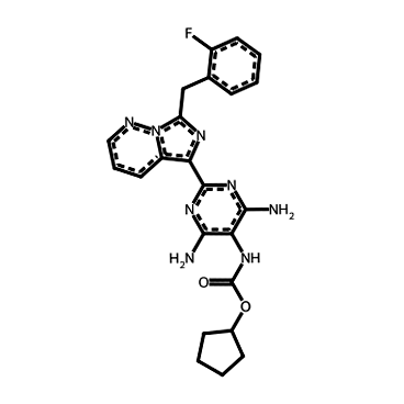 Nc1nc(-c2nc(Cc3ccccc3F)n3ncccc23)nc(N)c1NC(=O)OC1CCCC1